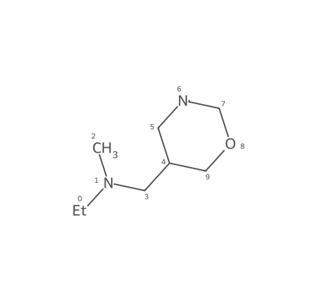 CCN(C)CC1C[N]COC1